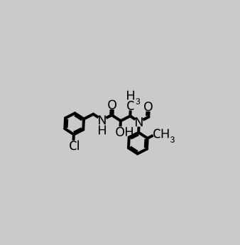 Cc1ccccc1N(C=O)C(C)C(O)C(=O)NCc1cccc(Cl)c1